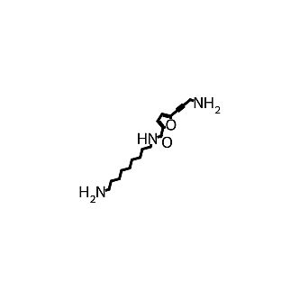 NCC#Cc1ccc(C(=O)NCCCCCCCCCN)o1